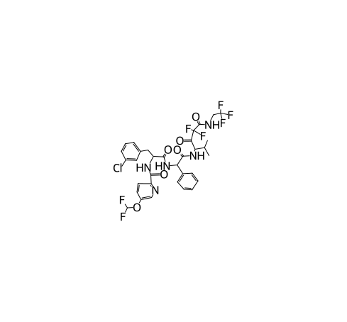 CC(C)C(NC(=O)C(NC(=O)C(Cc1cccc(Cl)c1)NC(=O)c1ccc(OC(F)F)cn1)c1ccccc1)C(=O)C(F)(F)C(=O)NCC(F)(F)F